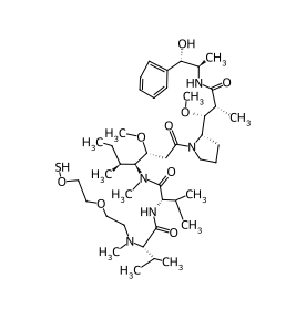 CC[C@H](C)[C@@H]([C@@H](CC(=O)N1CCC[C@H]1[C@H](OC)[C@@H](C)C(=O)N[C@H](C)[C@@H](O)c1ccccc1)OC)N(C)C(=O)[C@@H](NC(=O)[C@H](C(C)C)N(C)CCOCCOS)C(C)C